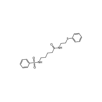 O=C(CCCCNS(=O)(=O)c1ccccc1)NCCSc1ccccc1